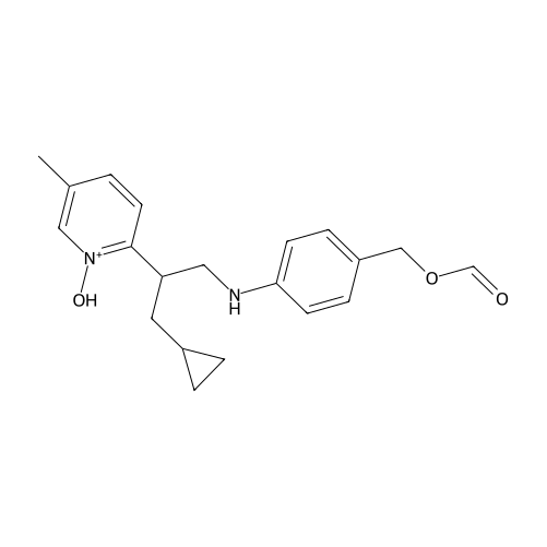 Cc1ccc(C(CNc2ccc(COC=O)cc2)CC2CC2)[n+](O)c1